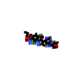 CCCS(=O)(=O)Nc1ccc(Cl)c(NC(=O)C2CSc3c(NC4CCOC4)ncnc32)c1Cl